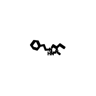 C=CC1=CN(CCc2ccccc2)NN1C